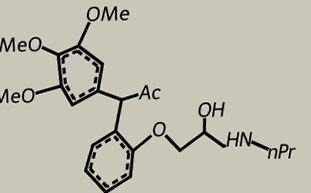 CCCNCC(O)COc1ccccc1C(C(C)=O)c1cc(OC)c(OC)c(OC)c1